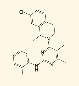 Cc1ccccc1Nc1nc(C)c(C)c(N2CCc3ccc(Cl)cc3C2C)n1